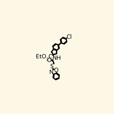 CCOC(=O)C1(NC(=O)CSc2nc3ccccc3o2)Cc2ccc(-c3ccc(Cl)cc3)cc2C1